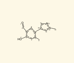 Cc1cc(O)c(C=O)cc1-c1cnn(C)c1